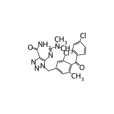 Cc1cc(Cn2nnc(C(N)=O)c2/N=C/N(C)C)cc(Cl)c1C(=O)c1ccc(Cl)cc1